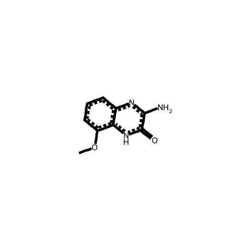 COc1cccc2nc(N)c(=O)[nH]c12